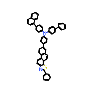 c1ccc(-c2ccc(N(c3ccc(-c4ccc5c(ccc6c5ccc5nc(-c7ccccc7)sc56)c4)cc3)c3ccc(-c4cccc5ccccc45)cc3)cc2)cc1